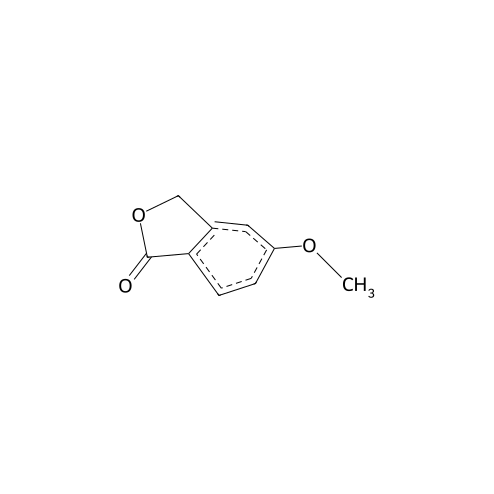 COc1ccc2c(c1)COC2=O